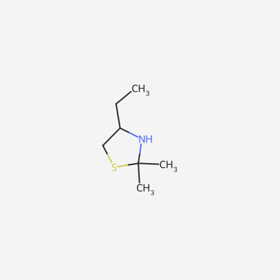 CCC1CSC(C)(C)N1